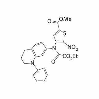 CCOC(=O)C(=O)N(c1ccc2c(c1)N(c1ccccc1)CCC2)c1cc(C(=O)OC)sc1[N+](=O)[O-]